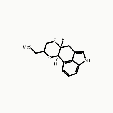 CSCC1CN[C@@H]2Cc3c[nH]c4cccc(c34)[C@H]2O1